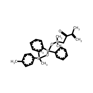 C=C(C)C(=O)C[Si](C)(C)O[Si](O[Si](C)(C)c1ccc(C)cc1)(c1ccccc1)c1ccccc1